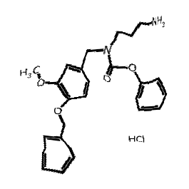 COc1cc(CN(CCCN)C(=O)Oc2ccccc2)ccc1OCc1ccccc1.Cl